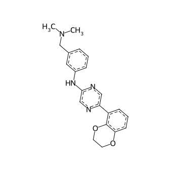 CN(C)Cc1cccc(Nc2cnc(-c3cccc4c3OCCO4)cn2)c1